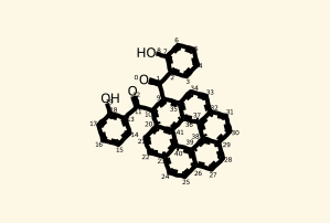 O=C(c1ccccc1O)c1c(C(=O)c2ccccc2O)c2ccc3ccc4ccc5ccc6ccc1c1c6c5c4c3c21